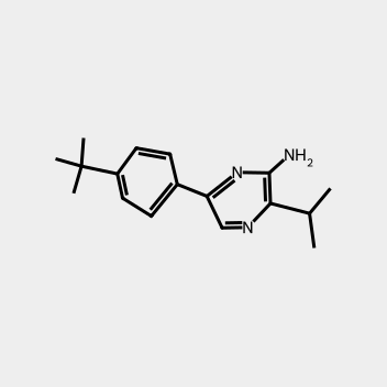 CC(C)c1ncc(-c2ccc(C(C)(C)C)cc2)nc1N